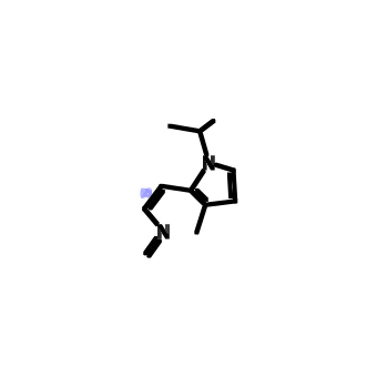 C=N/C=C\c1c(C)ccn1C(C)C